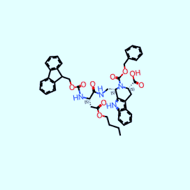 CCCCOC(=O)C[C@H](NC(=O)OCC1c2ccccc2-c2ccccc21)C(=O)NC[C@H]1c2[nH]c3ccccc3c2C[C@@H](C(=O)O)N1C(=O)OCc1ccccc1